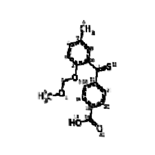 COCOc1ccc(C)cc1C(=S)c1ccc(C(=O)O)cc1